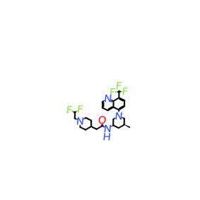 C[C@H]1C[C@@H](NC(=O)CC2CCN(CC(F)F)CC2)CN(c2ccc(C(F)(F)F)c3ncccc23)C1